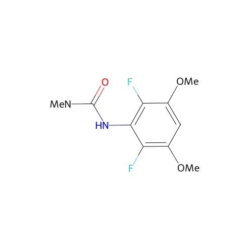 CNC(=O)Nc1c(F)c(OC)cc(OC)c1F